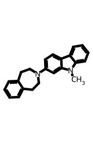 Cn1c2ccccc2c2ccc(N3CCc4ccccc4CC3)cc21